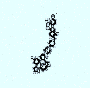 O=C1CCC(N2Cc3c(ccc(CN4CCC(N5CCN(c6cccc(-c7cnc8ccc(N9CCC[C@@H]9c9cccc(F)c9)nn78)n6)CC5)CC4)c3F)C2=O)C(=O)N1